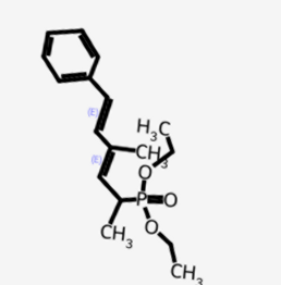 CCOP(=O)(OCC)C(C)/C=C(C)/C=C/c1ccccc1